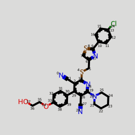 N#Cc1c(SCc2csc(-c3ccc(Cl)cc3)n2)nc(N2CCCCC2)c(C#N)c1-c1ccc(OCCO)cc1